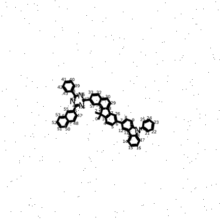 CC1(C)c2ccc(-c3ccc4c(c3)c3ccccc3n4-c3ccccc3)cc2-c2ccc3ccc(-c4nc(-c5ccccc5)nc(-c5ccc6ccccc6c5)n4)cc3c21